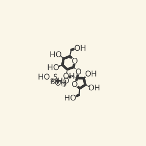 O=S(=O)(O)O.OC[C@H]1O[C@@](CO)(O[C@H]2O[C@H](CO)[C@@H](O)[C@H](O)[C@H]2O)[C@@H](O)[C@@H]1O.[BiH3]